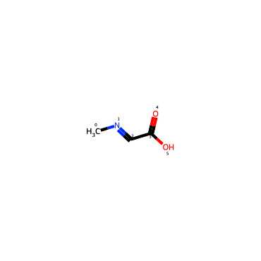 CN=CC(=O)O